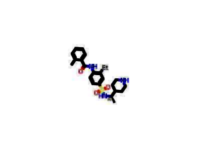 CCc1cc(S(=O)(=O)N[C@H](C)C2CCNCC2)ccc1NC(=O)c1ccccc1C